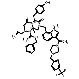 C=CCN1CC(=O)N2[C@@H](Cc3ccc(O)cc3)C(=O)N(Cc3cccc4c(C(=C)N5CCN(Cc6ccc(C(F)(F)F)cc6)CC5)cn(C)c34)C[C@@H]2N1C(=C)NCc1ccccc1